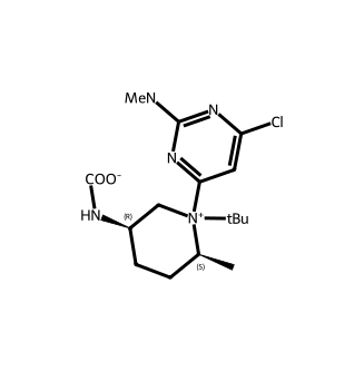 CNc1nc(Cl)cc([N+]2(C(C)(C)C)C[C@H](NC(=O)[O-])CC[C@@H]2C)n1